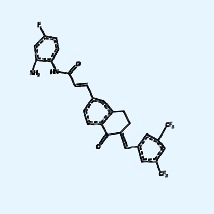 Nc1cc(F)ccc1NC(=O)/C=C/c1ccc2c(c1)CC/C(=C\c1cc(C(F)(F)F)cc(C(F)(F)F)c1)C2=O